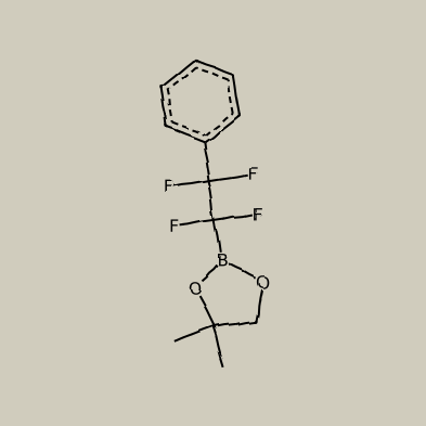 CC1(C)COB(C(F)(F)C(F)(F)c2ccccc2)O1